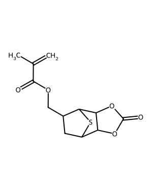 C=C(C)C(=O)OCC1CC2SC1C1OC(=O)OC21